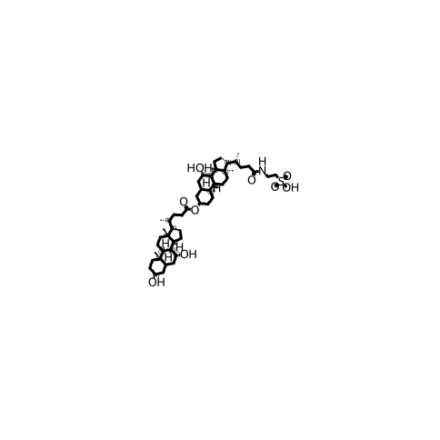 C[C@H](CCC(=O)NCCS(=O)(=O)O)[C@H]1CC[C@H]2[C@@H]3[C@@H](O)CC4CC(OC(=O)CC[C@@H](C)[C@H]5CC[C@H]6[C@@H]7[C@@H](O)CC8C[C@H](O)CC[C@]8(C)[C@H]7CC[C@]56C)CC[C@]4(C)[C@H]3CC[C@]12C